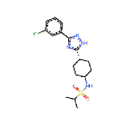 CC(C)S(=O)(=O)N[C@H]1CC[C@H](c2nc(-c3cccc(Cl)c3)n[nH]2)CC1